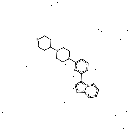 c1cc(-c2cnc3cccnn23)nc(N2CCN(C3CCNCC3)CC2)c1